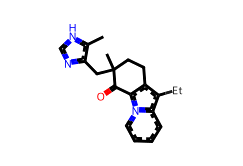 CCc1c2c(n3ccccc13)C(=O)C(C)(Cc1nc[nH]c1C)CC2